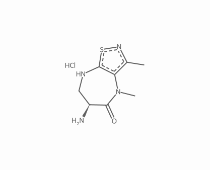 Cc1nsc2c1N(C)C(=O)[C@@H](N)CN2.Cl